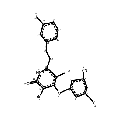 N#Cc1cc(Cl)cc(Oc2c(F)c(CCc3cccc(Cl)c3)[nH]c(=O)c2Br)c1